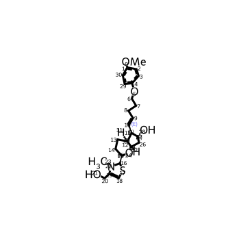 COc1ccc(OCCC/C=C/[C@@H]2[C@H]3CC[C@H](C4SC=C(CO)N4C)O[C@H]3C[C@H]2O)cc1